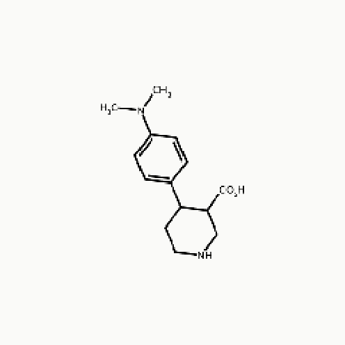 CN(C)c1ccc(C2CCNCC2C(=O)O)cc1